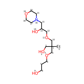 CCC(CO)(COCCCO)COCC(O)CN1CCOCC1